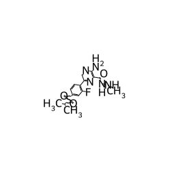 CNNC(=O)c1nc(-c2ccc(S(=O)(=O)C(C)C)cc2F)cnc1N